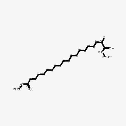 CCCCCCCCOC(=O)CCCCCCCCCCCCCCCCCC(C)C(=O)OCCCCCCCC